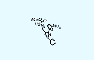 COC(=O)NN=Cc1cn(Cc2ccccc2)nc1-c1ccc([N+](=O)[O-])o1